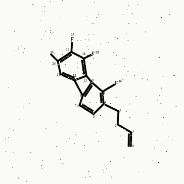 C=CCCc1ccc2c(c1F)-c1c-2cc(C)c(F)c1F